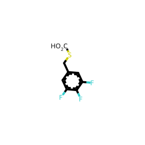 O=C(O)SCc1cc(F)c(F)c(F)c1